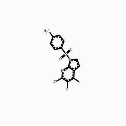 Cc1ccc(S(=O)(=O)n2ccc3c(F)c(F)c(Cl)nc32)cc1